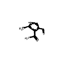 CC(=O)c1c(C=O)c[nH]c1C